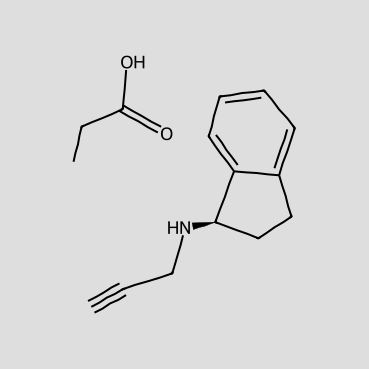 C#CCN[C@@H]1CCc2ccccc21.CCC(=O)O